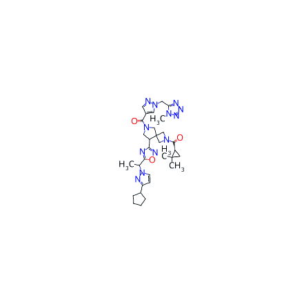 CC(c1nc(C2CN(C(=O)c3cnn(Cc4nnnn4C)c3)CC23CN(C(=O)[C@H]2CC2(C)C)C3)no1)n1ccc(C2CCCC2)n1